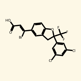 O=C(O)C=C(Br)c1ccc2c(c1)CC(c1cc(Cl)cc(Cl)c1)(C(F)(F)F)O2